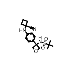 CC(C)(C)S(=O)(=O)NC1(c2ccc(NC3(C#N)CCC3)cc2)COC1